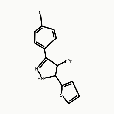 CCCC1C(c2ccc(Cl)cc2)=NNC1c1cccs1